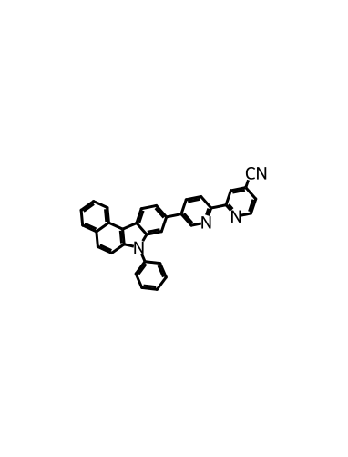 N#Cc1ccnc(-c2ccc(-c3ccc4c5c6ccccc6ccc5n(-c5ccccc5)c4c3)cn2)c1